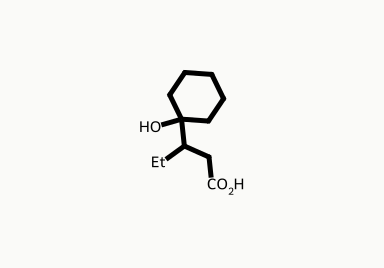 CCC(CC(=O)O)C1(O)CCCCC1